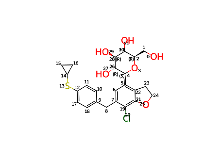 OC[C@H]1O[C@@H](c2cc(Cc3ccc(SC4CC4)cc3)c(Cl)c3c2CCO3)[C@H](O)[C@@H](O)C1O